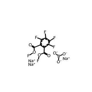 O=C(OF)c1c(F)c(F)c(F)c(F)c1C(=O)OF.[Na+].[Na+].[Na+].[O-]B([O-])[O-]